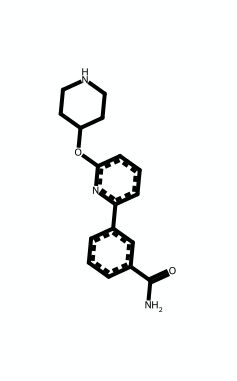 NC(=O)c1cccc(-c2cccc(OC3CCNCC3)n2)c1